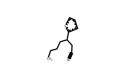 CCCCC(CC#N)c1cccs1